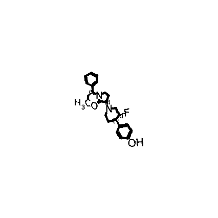 CC[C@@H](c1ccccc1)N1CC[C@@H](N2CC[C@H](c3ccc(O)cc3)[C@@H](F)C2)C1=O